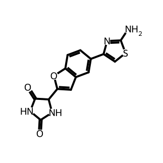 Nc1nc(-c2ccc3oc(C4NC(=O)NC4=O)cc3c2)cs1